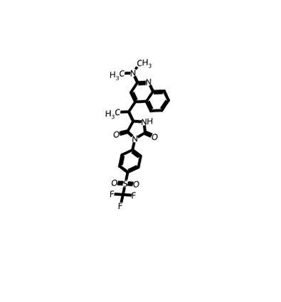 CC(c1cc(N(C)C)nc2ccccc12)C1NC(=O)N(c2ccc(S(=O)(=O)C(F)(F)F)cc2)C1=O